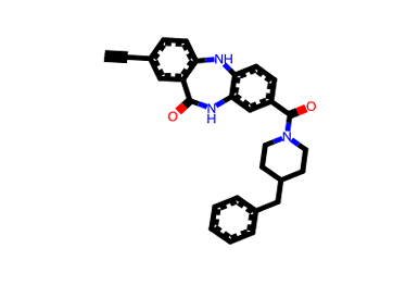 C#Cc1ccc2c(c1)C(=O)Nc1cc(C(=O)N3CCC(Cc4ccccc4)CC3)ccc1N2